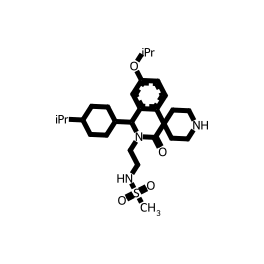 CC(C)Oc1ccc2c(c1)C(C1CCC(C(C)C)CC1)N(CCNS(C)(=O)=O)C(=O)C21CCNCC1